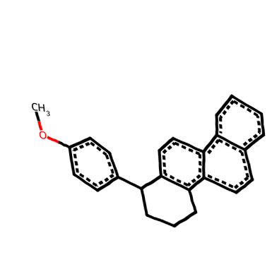 COc1ccc(C2CCCc3c2ccc2c3ccc3ccccc32)cc1